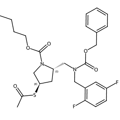 CCCCOC(=O)N1C[C@H](SC(C)=O)C[C@H]1CN(Cc1cc(F)ccc1F)C(=O)OCc1ccccc1